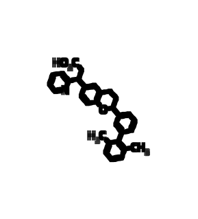 Cc1cccc(C)c1-c1cccc(C2CCc3cc(C(CC(=O)O)c4ccccn4)ccc3O2)c1